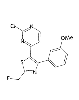 COc1cccc(-c2nc(CF)sc2-c2ccnc(Cl)n2)c1